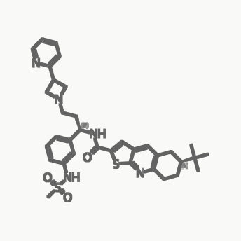 CC(C)(C)[C@H]1CCc2nc3sc(C(=O)N[C@H](CCN4CC(c5ccccn5)C4)c4cccc(NS(C)(=O)=O)c4)cc3cc2C1